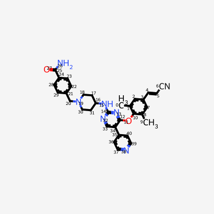 Cc1cc(/C=C/C#N)cc(C)c1Oc1nc(NC2CCN(Cc3ccc(C(N)=O)cc3)CC2)ncc1-c1ccncc1